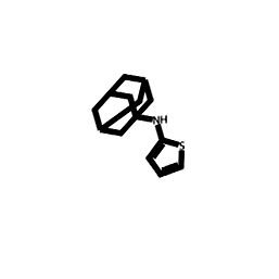 c1csc(NC23CC4CC(CC(C4)C2)C3)c1